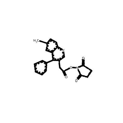 Cc1ccc2ncc(CC(=O)ON3C(=O)CCC3=O)c(-c3ccccc3)c2c1